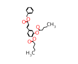 CCCCC(=O)Oc1ccc(/C=C/C(=O)OCc2ccccc2)cc1OC(=O)CCCC